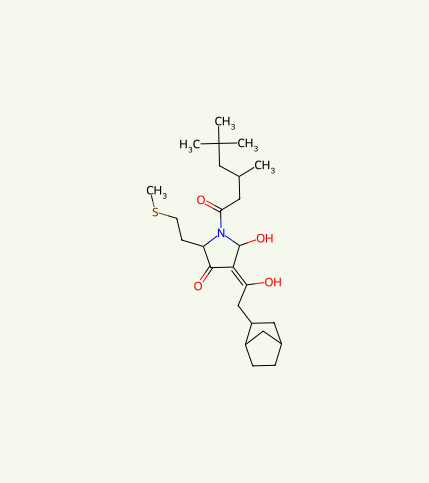 CSCCC1C(=O)/C(=C(/O)CC2CC3CCC2C3)C(O)N1C(=O)CC(C)CC(C)(C)C